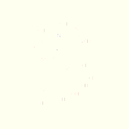 Cn1c([S+](C)[O-])cc(C(=O)c2cc(C(C)(C)C)c(O)c(C(C)(C)C)c2)c1[S+](C)[O-]